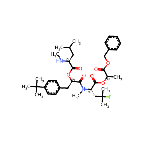 CN[C@@H](CC(C)C)C(=O)O[C@H](Cc1ccc(C(C)(C)C)cc1)C(=O)N(C)[C@@H](CC(C)(C)F)C(=O)O[C@H](C)C(=O)OCc1ccccc1